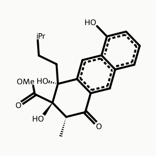 COC(=O)[C@@]1(O)[C@@H](C)C(=O)c2cc3cccc(O)c3cc2[C@]1(O)CCC(C)C